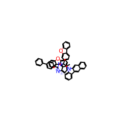 CC1C/C=C(c2c(-n3c4ccccc4c4cc5ccccc5cc43)ccc3oc4ccccc4c23)/N=C(c2ccc(-c3ccccc3)cc2)\N=C/1c1ccc2c(c1)oc1ccccc12